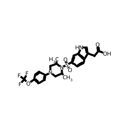 CC1CN(c2ccc(OC(F)(F)F)cc2)CC(C)N1S(=O)(=O)c1ccc2c(CC(=O)O)c[nH]c2c1